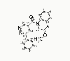 COC1Cc2ccccc2N(C(=O)c2cnnc(-c3ccccc3)c2)C1